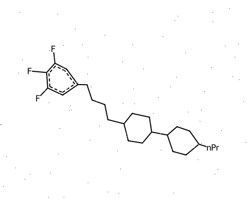 CCCC1CCC(C2CCC(CCCCc3cc(F)c(F)c(F)c3)CC2)CC1